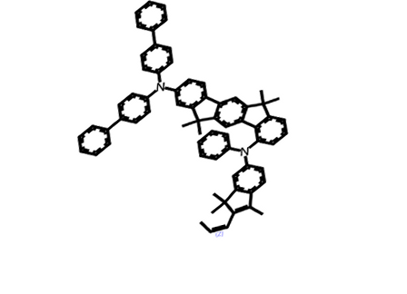 C/C=C\C1=C(C)c2ccc(N(c3ccccc3)c3cccc4c3-c3cc5c(cc3C4(C)C)-c3ccc(N(c4ccc(-c6ccccc6)cc4)c4ccc(-c6ccccc6)cc4)cc3C5(C)C)cc2C1(C)C